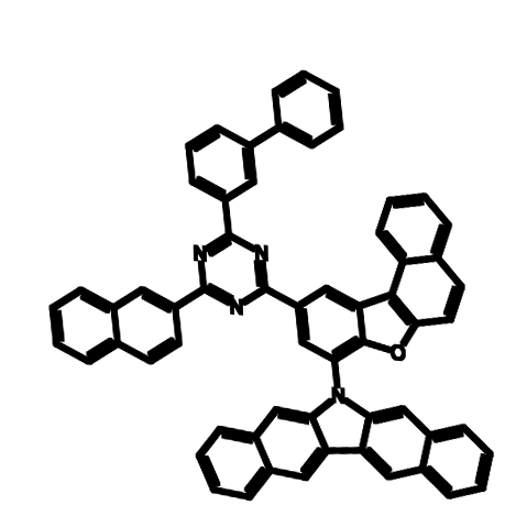 c1ccc(-c2cccc(-c3nc(-c4ccc5ccccc5c4)nc(-c4cc(-n5c6cc7ccccc7cc6c6cc7ccccc7cc65)c5oc6ccc7ccccc7c6c5c4)n3)c2)cc1